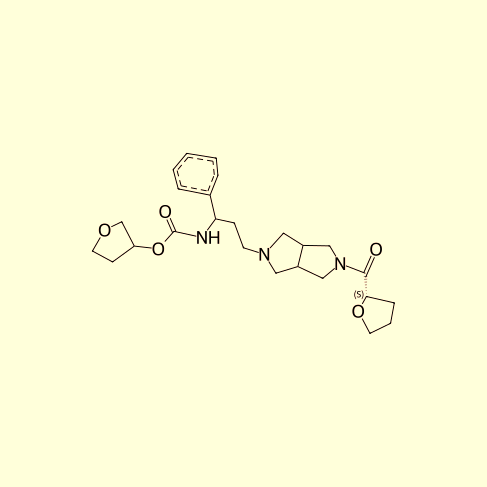 O=C(NC(CCN1CC2CN(C(=O)[C@@H]3CCCO3)CC2C1)c1ccccc1)OC1CCOC1